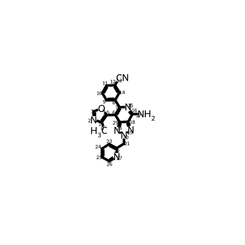 Cc1ncoc1-c1c(-c2cccc(C#N)c2)nc(N)c2nn(Cc3ccccn3)nc12